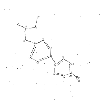 CCC(C)Cc1ccc(-c2ccc(Br)cc2)cc1